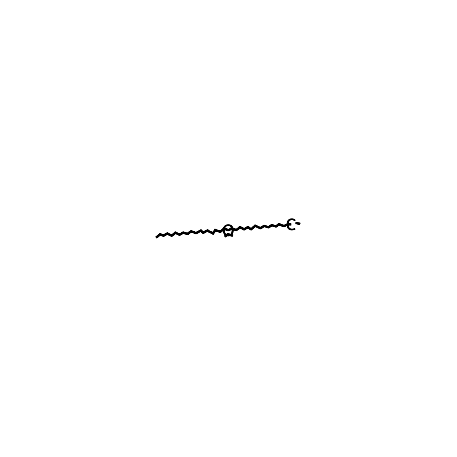 CCC.CCCCCCCCCCCCCCCCCCOCCCCCCCCCCCCCCCCCC